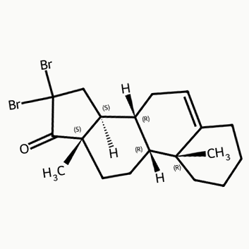 C[C@]12CCCCC1=CC[C@@H]1[C@H]2CC[C@]2(C)C(=O)C(Br)(Br)C[C@@H]12